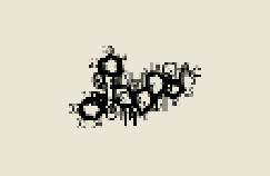 CC[C@]1(O)C[C@@H]2CC[C@@H]3[C@H](CC[C@]4(C)[C@@H](C(C)=O)CC[C@@H]34)[C@@]2(C)CC1(c1ccccc1)[S+]([O-])c1ccccc1